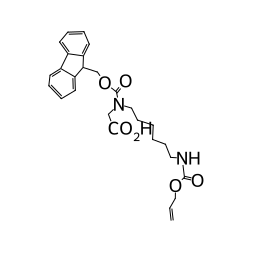 C=CCOC(=O)NCCCCCCN(CC(=O)O)C(=O)OCC1c2ccccc2-c2ccccc21